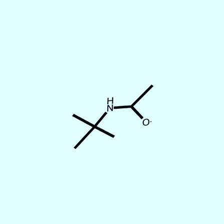 CC([O])NC(C)(C)C